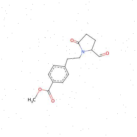 COC(=O)c1ccc(CCN2C(=O)CCC2C=O)cc1